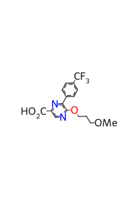 COCCCOc1ncc(C(=O)O)nc1-c1ccc(C(F)(F)F)cc1